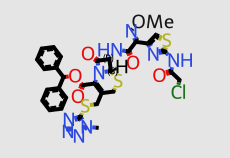 CON=C(C(=O)N[C@@H]1C(=O)N2C(C(=O)OC(c3ccccc3)c3ccccc3)=C(CSc3nnnn3C)CS[C@@H]12)c1csc(NC(=O)CCl)n1